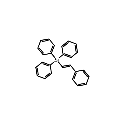 C(=C[Si](c1ccccc1)(c1ccccc1)c1ccccc1)c1ccccc1